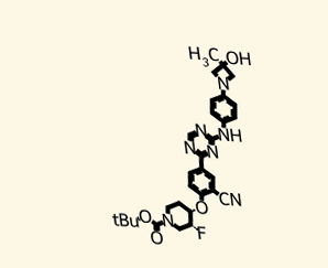 CC1(O)CN(c2ccc(Nc3ncnc(-c4ccc(O[C@H]5CCN(C(=O)OC(C)(C)C)C[C@H]5F)c(C#N)c4)n3)cc2)C1